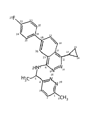 Cc1ccc(C(C)Nc2nnc(C3CC3)c3ccc(-c4ccc(F)cc4)cc23)nn1